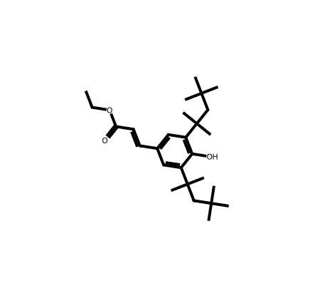 CCOC(=O)C=Cc1cc(C(C)(C)CC(C)(C)C)c(O)c(C(C)(C)CC(C)(C)C)c1